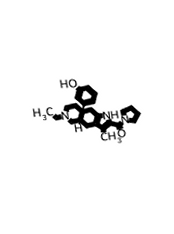 CCN1CC[C@]2(c3cccc(O)c3)Cc3[nH]c(C(=O)N4CCCC4)c(C)c3C[C@H]2C1